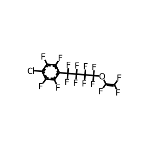 FC(F)=C(F)OC(F)(F)C(F)(F)C(F)(F)C(F)(F)c1c(F)c(F)c(Cl)c(F)c1F